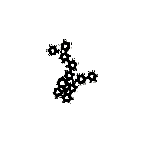 C1#CCC=C(C2(c3ccccc3)c3ccccc3-c3ccc(N(c4ccc(-c5ccccc5)cc4)c4cccc(C5=CC(c6ccc7c(c6)c6ccccc6n7-c6ccccc6)=CCC5)c4)cc32)C=C1